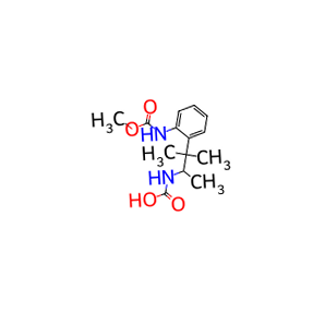 COC(=O)Nc1ccccc1C(C)(C)C(C)NC(=O)O